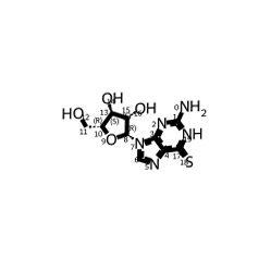 Nc1nc2c(ncn2[C@@H]2O[C@H](CO)[C@@H](O)[C@@H]2O)c(=S)[nH]1